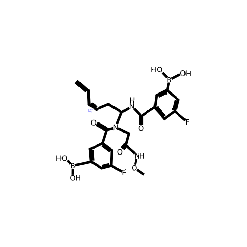 C=C/C=C\CC(NC(=O)c1cc(F)cc(B(O)O)c1)N(CC(=O)NOC)C(=O)c1cc(F)cc(B(O)O)c1